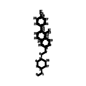 CC[C@H]1CC[C@H](CCc2ccc3c(F)c(-c4ccc(F)cc4)ccc3c2)CC1